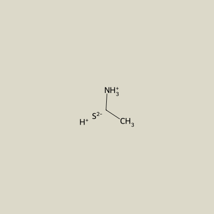 CC[NH3+].[H+].[S-2]